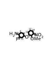 COc1c(Oc2ccc(N)c(F)c2)cccc1[N+](=O)[O-]